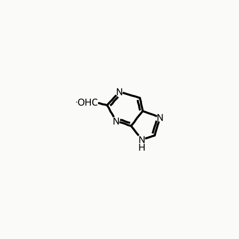 O=[C]c1ncc2nc[nH]c2n1